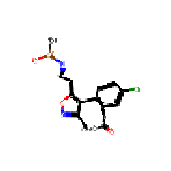 COC(=O)c1cc(Cl)ccc1-c1c(C)noc1C/C=N/[S@@+]([O-])C(C)(C)C